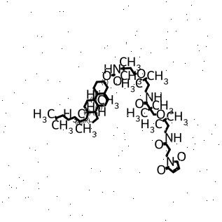 CC(C)CCC[C@@H](C)[C@H]1CC[C@H]2[C@@H]3CC=C4C[C@@H](OC(=O)NC(C)(C)CCOC(C)(C)CCNC(=O)C(C)(C)COC(C)(C)CCNC(=O)CCN5C(=O)C=CC5=O)CC[C@]4(C)[C@H]3CC[C@]12C